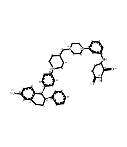 O=C1CCC(Nc2cccc(N3CCN(CC4CCN(c5ccc([C@@H]6c7ccc(O)cc7CC[C@@H]6c6ccccc6)cc5)CC4)CC3)c2)C(=O)N1